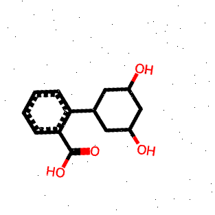 O=C(O)c1ccccc1C1CC(O)CC(O)C1